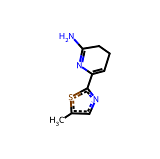 Cc1cnc(C2=CCCC(N)=N2)s1